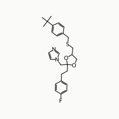 CC(C)(C)c1ccc(CSCC2COC(CCc3ccc(F)cc3)(Cn3ccnc3)O2)cc1